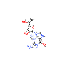 [2H]C(O)[C@@H]1C[C@@](N)(O)[C@H](n2cnc3c(=O)[nH]c(N)nc32)O1